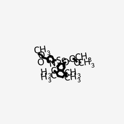 CCOC(=O)c1ccc([Se]c2cc3c(cc2OCOC(C)OC)C(C)(C)CCC3(C)C)nc1